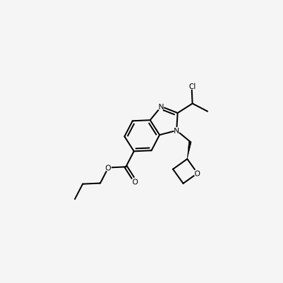 CCCOC(=O)c1ccc2nc(C(C)Cl)n(C[C@@H]3CCO3)c2c1